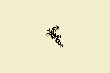 CC(C)n1c(=O)c2cnc(Nc3ccc4c(c3)CC(N(C)C)C4)nc2n1-c1ccn(C(C)(C)C)n1